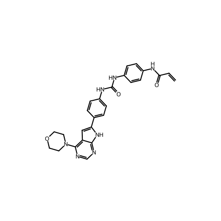 C=CC(=O)Nc1ccc(NC(=O)Nc2ccc(-c3cc4c(N5CCOCC5)ncnc4[nH]3)cc2)cc1